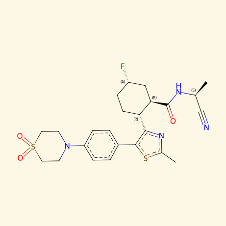 Cc1nc([C@@H]2CC[C@H](F)C[C@H]2C(=O)N[C@@H](C)C#N)c(-c2ccc(N3CCS(=O)(=O)CC3)cc2)s1